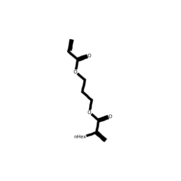 C=CC(=O)OCCCOC(=O)C(=C)CCCCCC